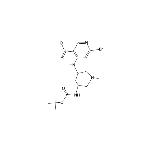 CN1CC(NC(=O)OC(C)(C)C)CC(Nc2cc(Br)ncc2[N+](=O)[O-])C1